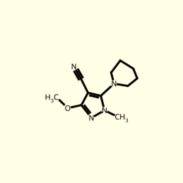 COc1nn(C)c(N2CCCCC2)c1C#N